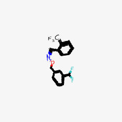 FC(F)c1cccc(CO/N=[C]\c2ccccc2C(F)(F)F)c1